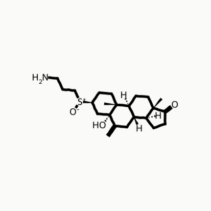 C=C1C[C@H]2[C@@H]3CCC(=O)[C@@]3(C)CC[C@@H]2[C@@]2(C)CC[C@H]([S+]([O-])CCCN)C[C@]12O